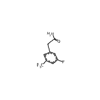 NC(=O)Cc1cc(F)cc(C(F)(F)F)c1